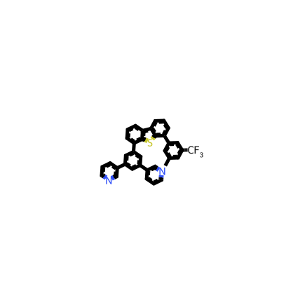 Cc1cc(-c2cccc3c2sc2c(-c4cc(-c5cccnc5)cc(-c5cccnc5)c4)cccc23)cc(C(F)(F)F)c1